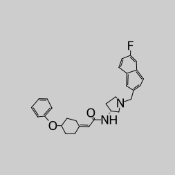 O=C(C=C1CCC(Oc2ccccc2)CC1)N[C@@H]1CCN(Cc2ccc3cc(F)ccc3c2)C1